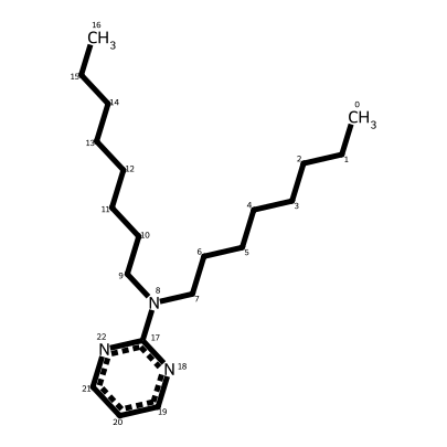 CCCCCCCCN(CCCCCCCC)c1ncccn1